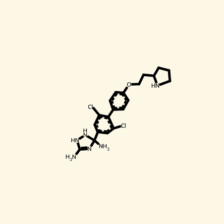 NC1=NC(N)(c2cc(Cl)c(-c3ccc(OCCC4CCCN4)cc3)c(Cl)c2)NN1